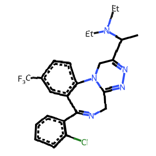 CCN(CC)C(C)C1=NN=C2CN=C(c3ccccc3Cl)c3cc(C(F)(F)F)ccc3N2C1